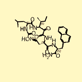 CC[C@H](C)C(NC(=O)[C@H](CC(C)C)NC(=O)O)C(=O)C(=O)N[C@@H](CC#N)C(=O)N[C@@H](Cc1ccc2ccccc2c1)C(N)=O